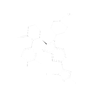 COC1CCC(n2c([C@@H]3CCCC(=O)N3c3ccc(F)c(F)c3)nc3cc(-c4cc(C)nn4C)ccc32)CC1